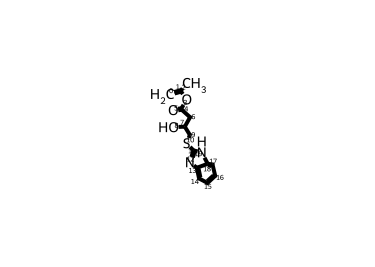 C=C(C)OC(=O)CC(O)CSc1nc2ccccc2[nH]1